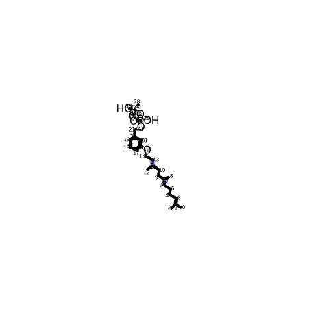 CC(C)=CCC/C=C(\C)CC/C(C)=C/COc1cccc(COP(=O)(O)OP(C)(=O)O)c1